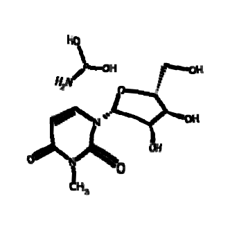 Cn1c(=O)ccn([C@@H]2O[C@H](CO)[C@@H](O)[C@H]2O)c1=O.NP(O)O